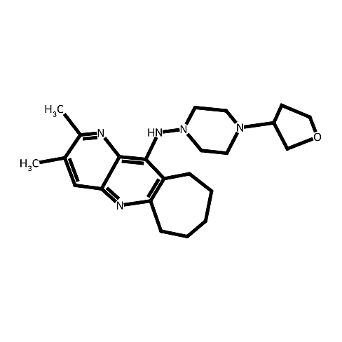 Cc1cc2nc3c(c(NN4CCN(C5CCOC5)CC4)c2nc1C)CCCCC3